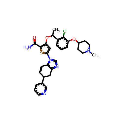 CC(Oc1cc(-n2cnc3c2C=CC(c2cccnc2)C3)sc1C(N)=O)c1cccc(OC2CCN(C)CC2)c1Cl